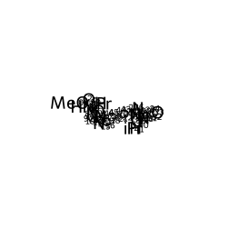 COC(=O)N[C@H](C(=O)N1CCC[C@H]1c1nc2ccc3cc(-c4ccc(-c5cnc([C@@H]6CC7(CCOCC7)CN6C(=O)CC(C)C)[nH]5)cc4)ccc3c2[nH]1)C(C)C